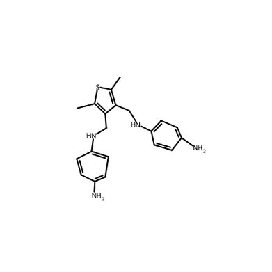 Cc1sc(C)c(CNc2ccc(N)cc2)c1CNc1ccc(N)cc1